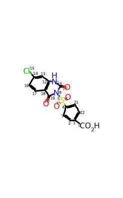 O=C(O)c1ccc(S(=O)(=O)n2c(=O)[nH]c3cc(Cl)ccc3c2=O)cc1